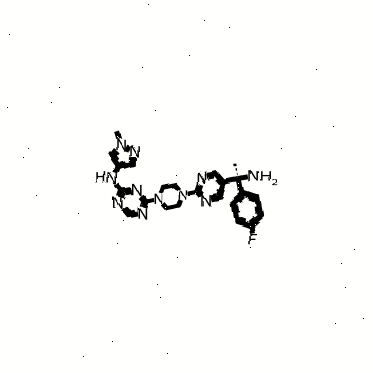 Cn1cc(Nc2ncnc(N3CCN(c4ncc([C@@](C)(N)c5ccc(F)cc5)cn4)CC3)n2)cn1